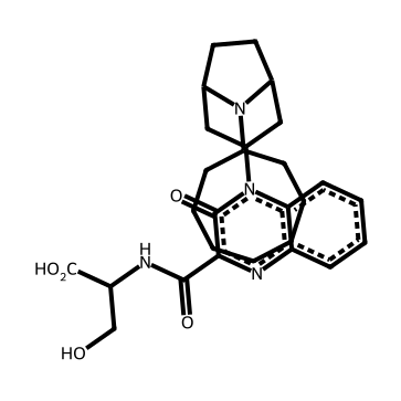 O=C(NC(CO)C(=O)O)c1nc2ccccc2n(C2CC3CCC(C2)N3C2CCCCCCC2)c1=O